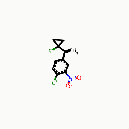 C=C(c1ccc(Cl)c([N+](=O)[O-])c1)C1(F)CC1